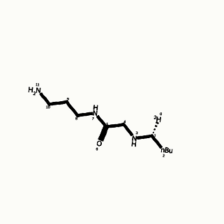 [2H][C@H](CCCC)NCC(=O)NCCCN